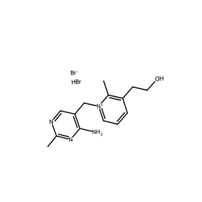 Br.Cc1ncc(C[n+]2cccc(CCO)c2C)c(N)n1.[Br-]